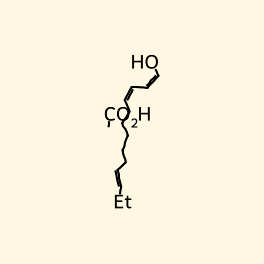 CC(=O)O.CCC=CCCCCC/C=C\C=C/O